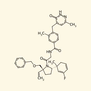 C=C[C@@]1(COCc2ccccc2)CC[C@@H](C2(C)C=C(F)C=CC2)N1C(=O)CNC(=O)c1ccc(Cc2cc(C)n[nH]c2=O)c(C)c1